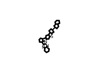 c1ccc2cc(-c3ccc4c(c3)sc3cc5c(cc34)c3cccc4c6nc7ccccc7nc6n5c34)ccc2c1